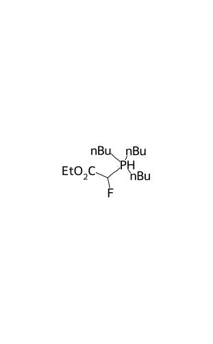 CCCC[PH](CCCC)(CCCC)C(F)C(=O)OCC